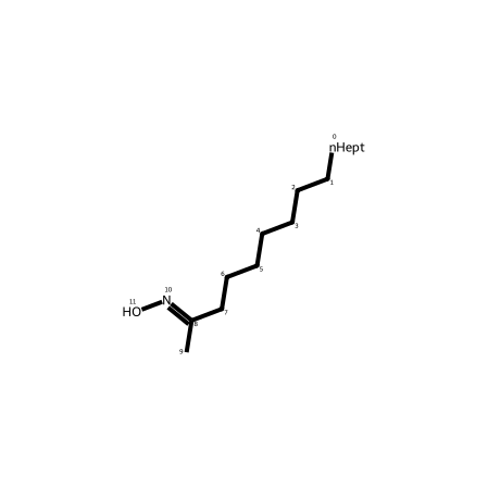 CCCCCCCCCCCCCCC(C)=NO